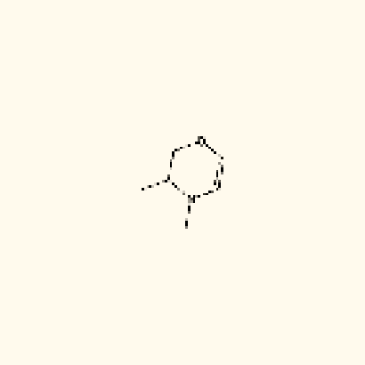 CC1COC=CN1C